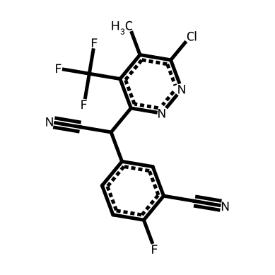 Cc1c(Cl)nnc(C(C#N)c2ccc(F)c(C#N)c2)c1C(F)(F)F